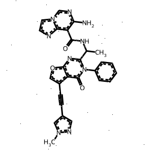 CC(NC(=O)c1c(N)ncn2ccnc12)c1nc2occ(C#Cc3cnn(C)c3)c2c(=O)n1-c1ccccc1